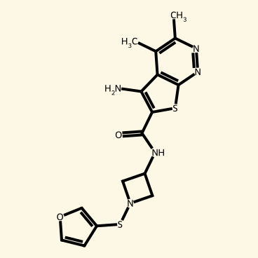 Cc1nnc2sc(C(=O)NC3CN(Sc4ccoc4)C3)c(N)c2c1C